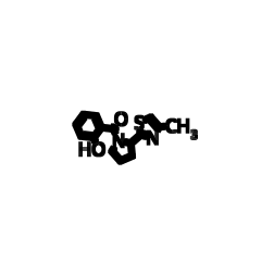 Cc1csc(C2CCCN2C(=O)c2ccccc2O)n1